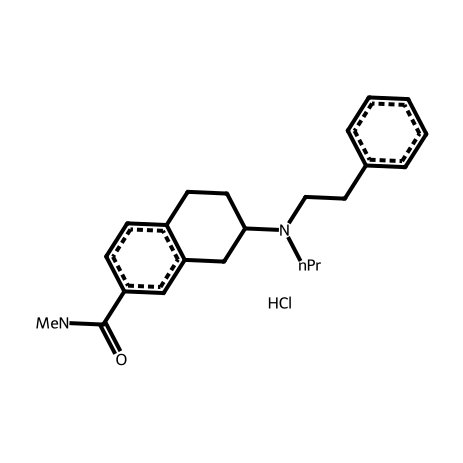 CCCN(CCc1ccccc1)C1CCc2ccc(C(=O)NC)cc2C1.Cl